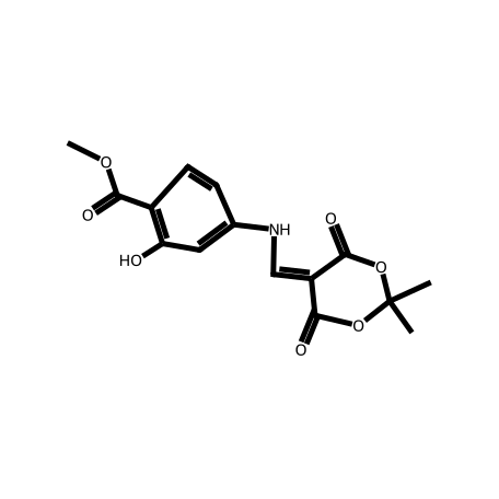 COC(=O)c1ccc(NC=C2C(=O)OC(C)(C)OC2=O)cc1O